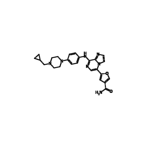 NC(=O)c1coc(-c2cnc(Nc3ccc(N4CCN(CC5CC5)CC4)cc3)c3nccn23)c1